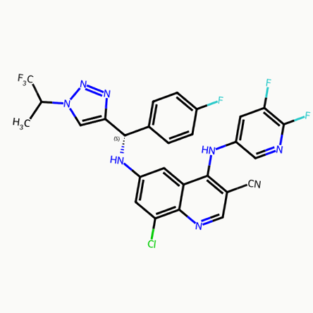 CC(n1cc([C@@H](Nc2cc(Cl)c3ncc(C#N)c(Nc4cnc(F)c(F)c4)c3c2)c2ccc(F)cc2)nn1)C(F)(F)F